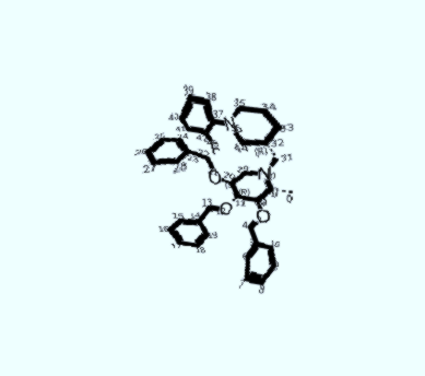 C[C@@H]1[C@@H](OCc2ccccc2)[C@H](OCc2ccccc2)[C@@H](OCc2ccccc2)CN1C[C@H]1CCCN(c2ccccc2F)C1